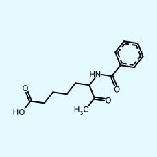 CC(=O)C(CCCCC(=O)O)NC(=O)c1ccccc1